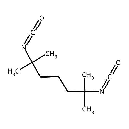 CC(C)(CCCC(C)(C)N=C=O)N=C=O